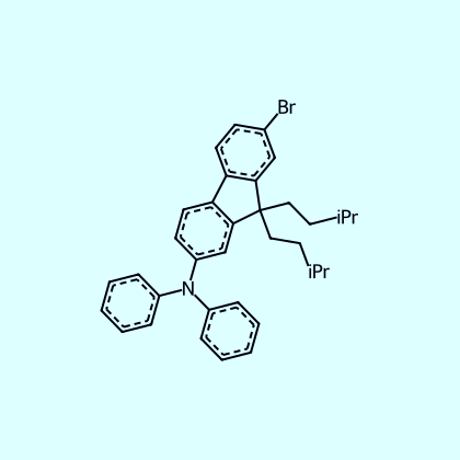 CC(C)CCC1(CCC(C)C)c2cc(Br)ccc2-c2ccc(N(c3ccccc3)c3ccccc3)cc21